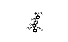 Cc1ccccc1-c1cc2cnc(Nc3cccc([S+](C)[O-])c3)nc2c(=O)n1C